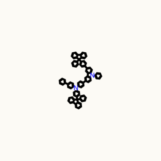 c1ccc(-c2ccc(N(c3ccc(-c4ccc5c(c4)c4cc(-c6ccc(C7(c8ccccc8)c8ccccc8-c8ccccc87)cc6)ccc4n5-c4ccccc4)cc3)c3ccc(C4(c5ccccc5)c5ccccc5-c5ccccc54)cc3)cc2)cc1